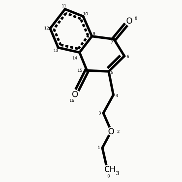 CCOCCC1=CC(=O)c2ccccc2C1=O